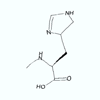 CN[C@@H](CC1CNC=N1)C(=O)O